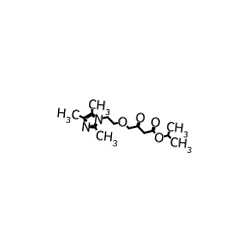 Cc1nc(C)n(CCOCC(=O)CC(=O)OC(C)C)c1C